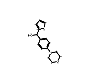 OC(c1ccc(N2CCOCC2)cc1)c1cccs1